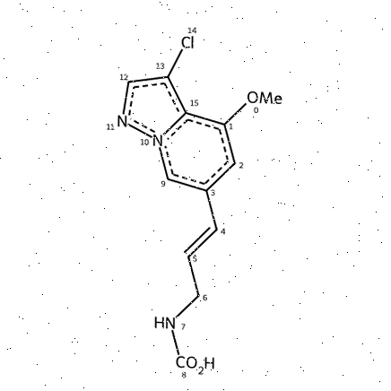 COc1cc(C=CCNC(=O)O)cn2ncc(Cl)c12